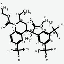 CCOC(=O)N1c2ccc(C(F)(F)F)cc2C([C@@](O)(C(=O)OC)c2cc(C(F)(F)F)cc(C(F)(F)F)c2)CC1CC